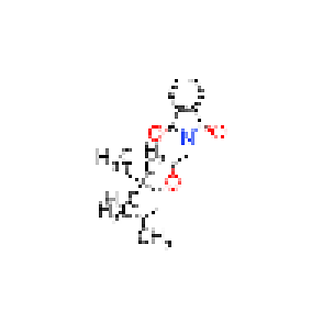 CCC(C)(C)C(CC(C)C)OCCN1C(=O)c2ccccc2C1=O